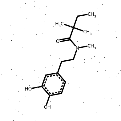 CCC(C)(C)C(=O)N(C)CCc1ccc(O)c(O)c1